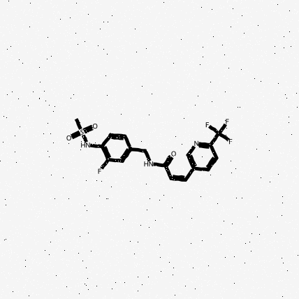 CS(=O)(=O)Nc1ccc(CNC(=O)/C=C\c2ccc(C(F)(F)F)nc2)cc1F